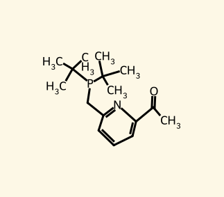 CC(=O)c1cccc(CP(C(C)(C)C)C(C)(C)C)n1